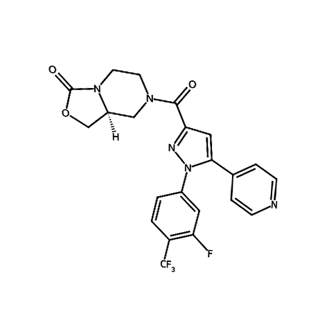 O=C(c1cc(-c2ccncc2)n(-c2ccc(C(F)(F)F)c(F)c2)n1)N1CCN2C(=O)OC[C@@H]2C1